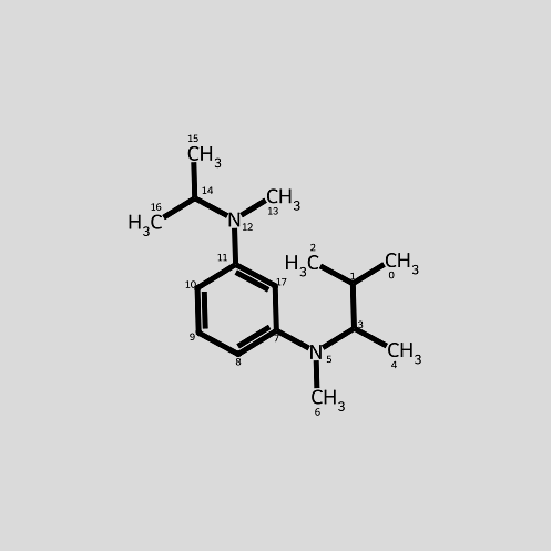 CC(C)C(C)N(C)c1cccc(N(C)C(C)C)c1